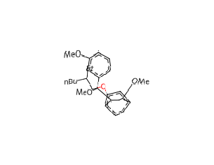 CCCCC(CC)COc1cc2ccc1[C](C(OC)c1cc[c]c(OC)c1)CC2OC